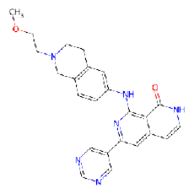 COCCN1CCc2cc(Nc3nc(-c4cncnc4)cc4cc[nH]c(=O)c34)ccc2C1